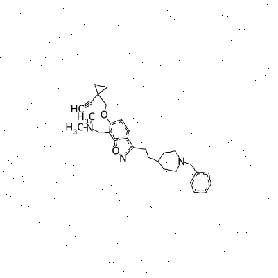 C#CC1(COc2ccc3c(CCC4CCN(Cc5ccccc5)CC4)noc3c2CN(C)C)CC1